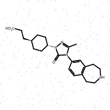 Cc1nn([C@H]2CC[C@H](CCC(=O)O)CC2)c(=O)n1-c1ccc2c(c1)CCNCC2